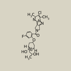 Cc1nc2c3c(nn2c(C)c1Cl)CN(C(=O)c1ccc(F)cc1O[C@H]1C[C@H]2C[C@H](O)[C@@H](C1)N2CC(C)O)C3